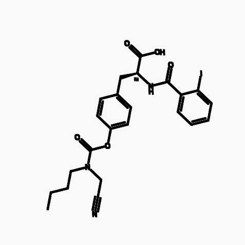 CCCCN(CC#N)C(=O)Oc1ccc(C[C@H](NC(=O)c2ccccc2I)C(=O)O)cc1